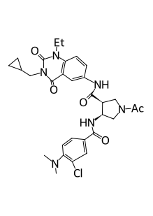 CCn1c(=O)n(CC2CC2)c(=O)c2cc(NC(=O)[C@H]3CN(C(C)=O)C[C@H]3NC(=O)c3ccc(N(C)C)c(Cl)c3)ccc21